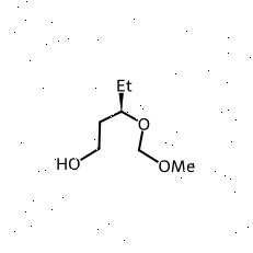 CC[C@H](CCO)OCOC